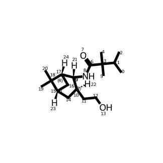 CC(C)C(C)(C)C(=O)N[C@@H]1[C@@H](CCO)C[C@H]2C[C@@H]1C2(C)C